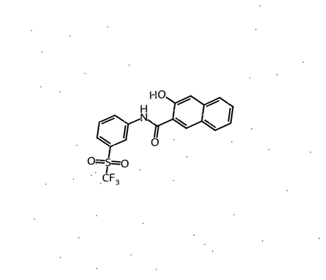 O=C(Nc1cccc(S(=O)(=O)C(F)(F)F)c1)c1cc2ccccc2cc1O